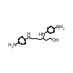 Nc1ccc(NCCCC(CCO)Nc2ccc(N)cc2)cc1